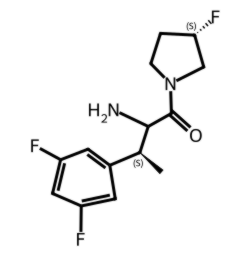 C[C@@H](c1cc(F)cc(F)c1)C(N)C(=O)N1CC[C@H](F)C1